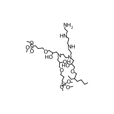 CCCCC(CC)COCC(O)CN(CCNCCNCCN)CCN(CC(O)COCCC[Si](OC)(OC)OC)CC(O)COCCC[Si](OC)(OC)OC